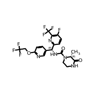 C[C@@H]1C(=O)NCCN1C(=O)N[C@H](c1ccc(OCC(F)(F)F)nc1)c1ccc(F)c(C(F)(F)F)n1